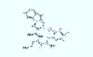 C/C(=C(CCO)/[SH]=C(\O)c1ccc2oc3ccccc3c2c1)N(C=O)Cc1cnc(C)nc1N